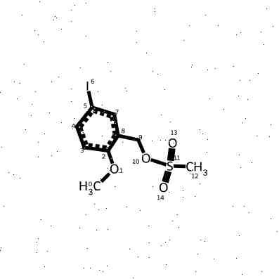 COc1ccc(I)cc1COS(C)(=O)=O